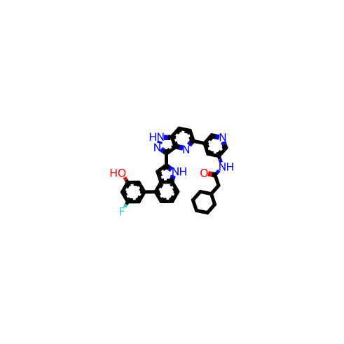 O=C(CC1CCCCC1)Nc1cncc(-c2ccc3[nH]nc(-c4cc5c(-c6cc(O)cc(F)c6)cccc5[nH]4)c3n2)c1